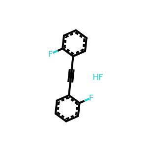 F.Fc1ccccc1C#Cc1ccccc1F